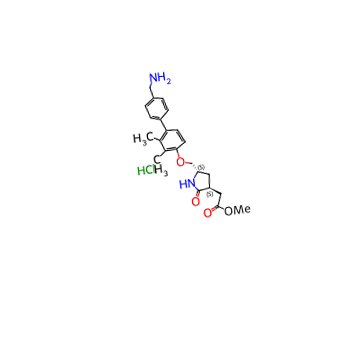 COC(=O)C[C@@H]1C[C@@H](COc2ccc(-c3ccc(CN)cc3)c(C)c2C)NC1=O.Cl